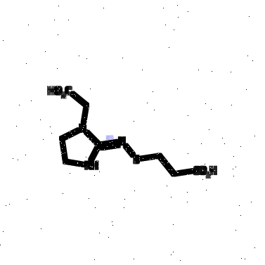 O=C(O)CN1CCN/C1=N\SCCS(=O)(=O)O